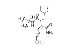 C/C=C/C[C@H](C(N)=O)C(CC1CCCC1)C(=O)NC(C)(C)C